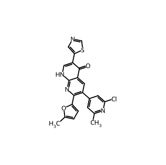 Cc1cc(-c2cc3c(=O)c(-c4cncs4)c[nH]c3nc2-c2ccc(C)o2)cc(Cl)n1